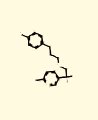 CC[C@](O)(CNCCCc1ccc(I)cc1)c1ccc(Cl)nc1